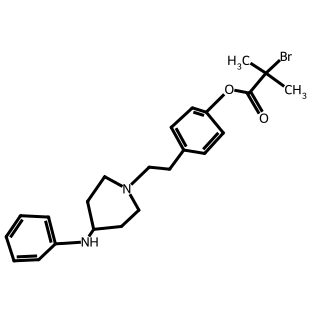 CC(C)(Br)C(=O)Oc1ccc(CCN2CCC(Nc3ccccc3)CC2)cc1